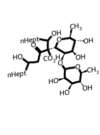 CCCCCCCC(O)CC(=O)C(C(=O)O)(C(O)CCCCCCC)[C@@H]1O[C@@H](C)[C@H](O)[C@@H](O)[C@H]1OC1O[C@@H](C)[C@H](O)[C@@H](O)[C@H]1O